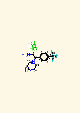 Cl.Cl.Cl.NCC(c1ccc(C(F)(F)F)cc1)N1CCNCC1